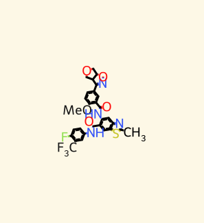 COc1ccc(C2=NOC3COCC23)cc1C(=O)Nc1cc2nc(C)sc2cc1C(=O)Nc1ccc(F)c(C(F)(F)F)c1